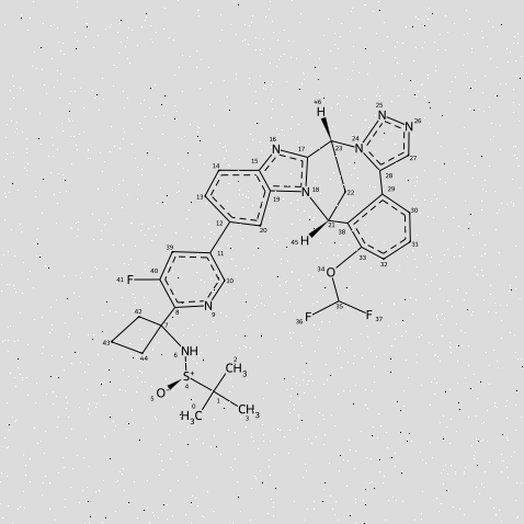 CC(C)(C)[S@@+]([O-])NC1(c2ncc(-c3ccc4nc5n(c4c3)[C@@H]3C[C@H]5n4nncc4-c4cccc(OC(F)F)c43)cc2F)CCC1